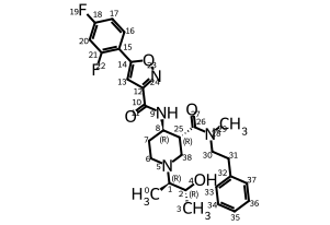 C[C@H]([C@@H](C)O)N1CC[C@@H](NC(=O)c2cc(-c3ccc(F)cc3F)on2)[C@H](C(=O)N(C)CCc2ccccc2)C1